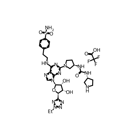 CCn1nnc([C@H]2O[C@@H](n3cnc4c(NCCc5ccc(S(N)(=O)=O)cc5)nc(N5CC[C@@H](NC(=O)N[C@@H]6CCNC6)C5)nc43)[C@H](O)[C@@H]2O)n1.O=C(O)C(F)(F)F